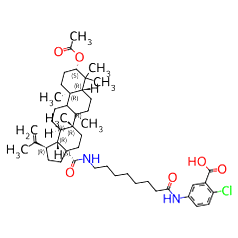 C=C(C)[C@@H]1CC[C@]2(C(=O)NCCCCCCCC(=O)Nc3ccc(Cl)c(C(=O)O)c3)CC[C@]3(C)[C@H](CCC4[C@@]5(C)CC[C@H](OC(C)=O)C(C)(C)[C@@H]5CC[C@]43C)[C@@H]12